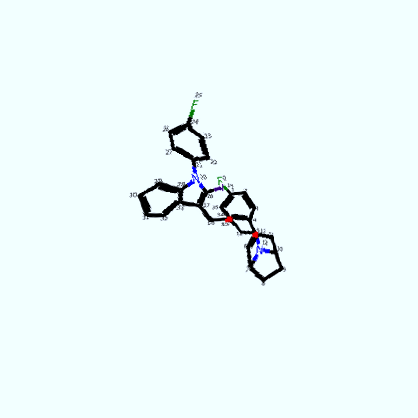 Fc1ccc(C2=CC3CCC(C2)N3CCCCc2c(I)n(-c3ccc(F)cc3)c3ccccc23)cc1